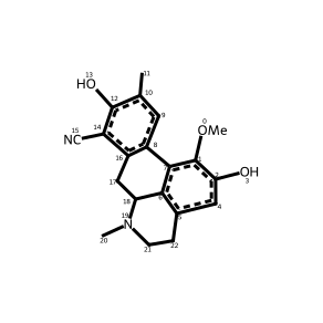 COc1c(O)cc2c3c1-c1cc(C)c(O)c(C#N)c1CC3N(C)CC2